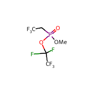 COP(=O)(CC(F)(F)F)OC(F)(F)C(F)(F)F